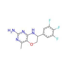 Cc1nc(N)nc2c1OCC(c1cc(F)c(F)c(F)c1)N2